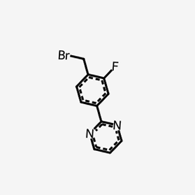 Fc1cc(-c2ncccn2)ccc1CBr